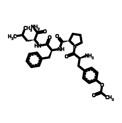 CC(=O)Oc1ccc(C[C@H](N)C(=O)N2CCC[C@H]2C(=O)N[C@@H](Cc2ccccc2)C(=O)N[C@H](CC(C)C)C(N)=O)cc1